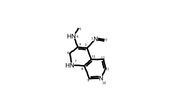 C=NC1=C(NC)CNc2cnccc21